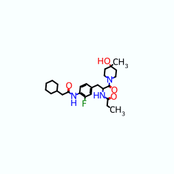 CCC(=O)NC(Cc1ccc(NC(=O)CC2CCCCC2)c(F)c1)C(=O)N1CCC(C)(O)CC1